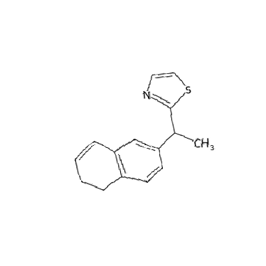 CC(c1ccc2c(c1)C=CCC2)c1nccs1